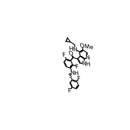 COc1cnc2[nH]cc(C(=O)c3c(F)ccc(NSc4cc(F)ccc4F)c3F)c2c1NCC1CC1